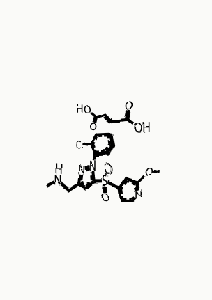 CNCc1cc(S(=O)(=O)c2ccnc(OC)c2)n(-c2ccccc2Cl)n1.O=C(O)/C=C/C(=O)O